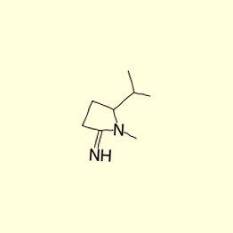 CC(C)C1CCC(=N)N1C